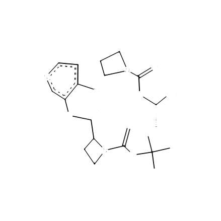 C[C@@H](O)OC(=O)N1CCC1.C[C@@H](Oc1cnccc1Br)C1CCN1C(=O)OC(C)(C)C